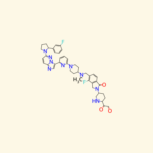 CN(Cc1ccc2c(c1F)CN(C1CCC(C(=O)C=O)NC1)C2=O)C1CCN(c2cccc(-c3cnc4ccc(N5CCCC5c5cccc(F)c5)nn34)n2)CC1